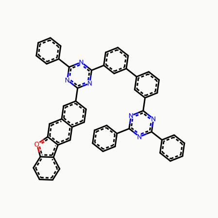 c1ccc(-c2nc(-c3ccccc3)nc(-c3cccc(-c4cccc(-c5nc(-c6ccccc6)nc(-c6ccc7cc8c(cc7c6)oc6ccccc68)n5)c4)c3)n2)cc1